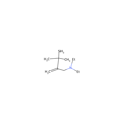 C=C(CN(CC)CC)C(C)(C)[SiH3]